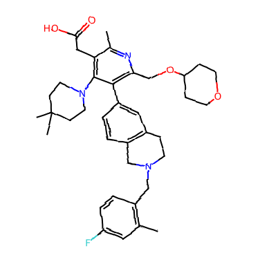 Cc1cc(F)ccc1CN1CCc2cc(-c3c(COC4CCOCC4)nc(C)c(CC(=O)O)c3N3CCC(C)(C)CC3)ccc2C1